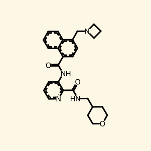 O=C(NCC1CCOCC1)c1ncccc1NC(=O)c1ccc(CN2CCC2)c2ccccc12